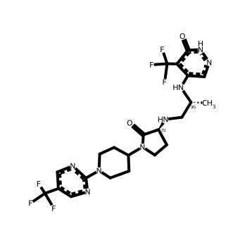 C[C@H](CN[C@H]1CCN(C2CCN(c3ncc(C(F)(F)F)cn3)CC2)C1=O)Nc1cn[nH]c(=O)c1C(F)(F)F